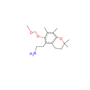 COCOc1c(C)c(C)c2c(c1CCN)CCC(C)(C)O2